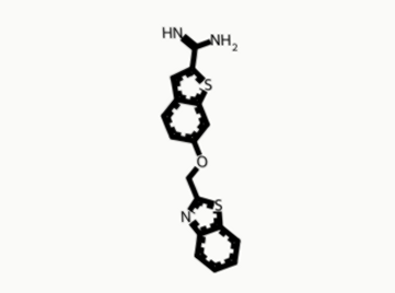 N=C(N)c1cc2ccc(OCc3nc4ccccc4s3)cc2s1